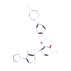 Cc1c(Nc2cc[nH]c(=O)c2C(=O)Nc2ccc(N3CCN(C)CC3)cc2)cncc1N1CCCC1